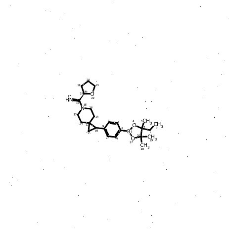 CCC1(C)OB(c2ccc(C3CC34CCN(C(=N)[C@H]3CCCO3)CC4)cc2)OC1(C)C